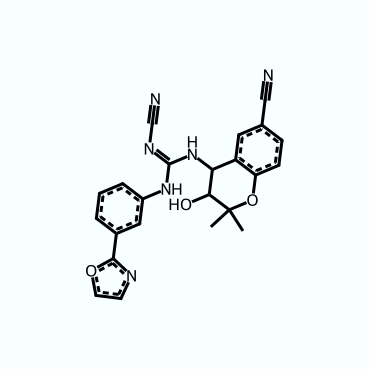 CC1(C)Oc2ccc(C#N)cc2C(N/C(=N\C#N)Nc2cccc(-c3ncco3)c2)C1O